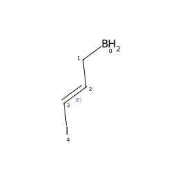 BC/C=C/I